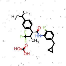 CC(C)c1ccc([C@@H](C(=O)Nc2cc(CC3CC3)ccc2F)[C@@H](C)C(F)(F)F)cc1.O=C(O)O